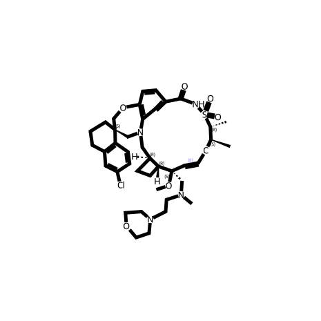 CO[C@]1(CN(C)CCN2CCOCC2)/C=C/C[C@H](C)[C@@H](C)S(=O)(=O)NC(=O)c2ccc3c(c2)N(C[C@@H]2CC[C@H]21)C[C@@]1(CCCc2cc(Cl)ccc21)CO3